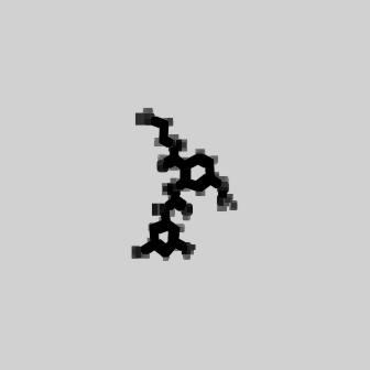 O=C(Nc1cc(Br)cc(Br)c1)Nc1cc(OC(F)(F)F)ccc1C(=O)NCCO